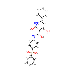 O=C(Nc1ccc(S(=O)(=O)c2ccccc2)cc1)C1=C(O)CC(C2CCCCC2)NC1=O